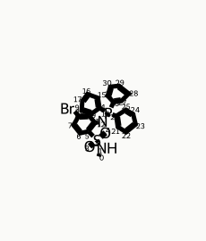 CNS(=O)(=O)c1ccc(Br)cc1N=P(c1ccccc1)(c1ccccc1)c1ccccc1